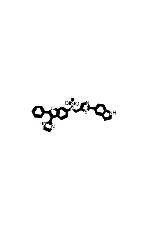 CS(=O)(=O)N(Cc1cnc(-c2ccc3[nH]ccc3c2)s1)c1ccc2c(-c3ncc[nH]3)c(-c3ccccc3)oc2c1